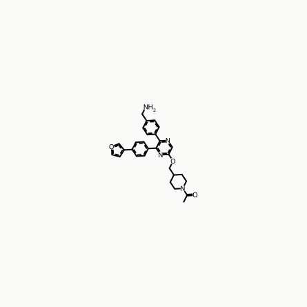 CC(=O)N1CCC(COc2cnc(-c3ccc(CN)cc3)c(-c3ccc(-c4ccoc4)cc3)n2)CC1